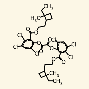 CCC1(C)CCC1CCOC(=O)c1c(Cl)c(Cl)cc(Cl)c1OC(=O)C(=O)Oc1c(Cl)cc(Cl)c(Cl)c1C(=O)OCCC1CCC1(C)CC